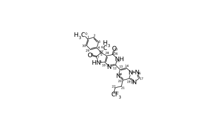 Cc1ccc([C@]2(C)C(=O)Nc3nc(-c4cn5ncnc5c(CCC(F)(F)F)n4)[nH]c(=O)c32)cc1